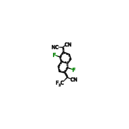 N#CC(C#N)=c1ccc2c(F)/c(=C(\C#N)C(F)(F)F)ccc2c1F